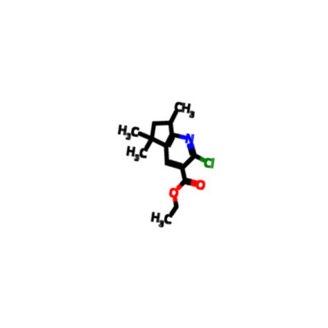 CCOC(=O)c1cc2c(nc1Cl)C(C)CC2(C)C